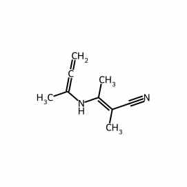 C=C=C(C)N/C(C)=C(\C)C#N